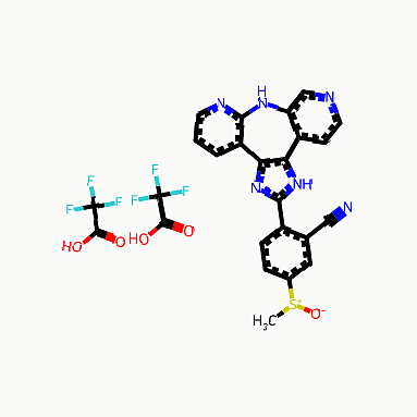 C[S+]([O-])c1ccc(-c2nc3c([nH]2)-c2ccncc2Nc2ncccc2-3)c(C#N)c1.O=C(O)C(F)(F)F.O=C(O)C(F)(F)F